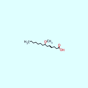 CCCCCCCC(CC=CCCC(=O)O)OC